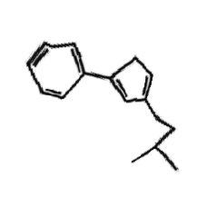 CC(C)CC1=C[CH]C(c2ccccc2)=C1